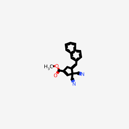 COC(=O)C1=CC(C#N)(C#N)C(=Cc2ccc3ccccc3c2)C1